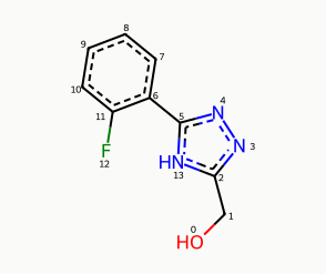 OCc1nnc(-c2ccccc2F)[nH]1